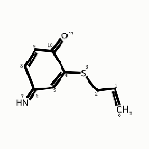 C=CCSC1=CC(=N)C=CC1=O